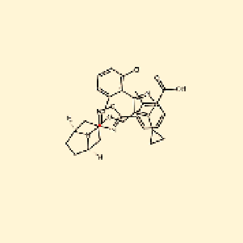 Cc1c(C(=O)O)cccc1-c1nc(N2[C@@H]3CC[C@H]2CC(OCc2c(-c4c(Cl)cccc4Cl)noc2C2CC2)C3)no1